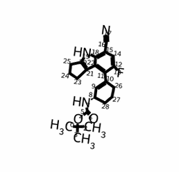 CC(C)(C)OC(=O)N[C@@H]1C=C(c2c(F)cc(C#N)c3[nH]c4c(c23)CCC4)CCC1